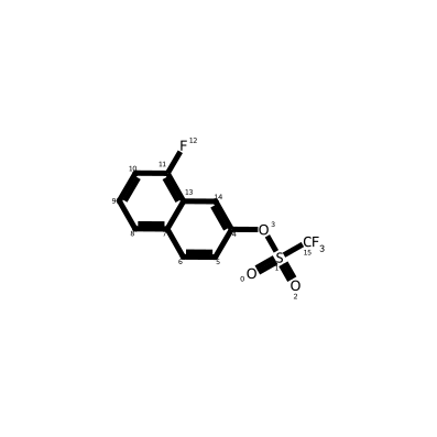 O=S(=O)(Oc1ccc2cccc(F)c2c1)C(F)(F)F